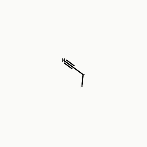 N#C[CH]F